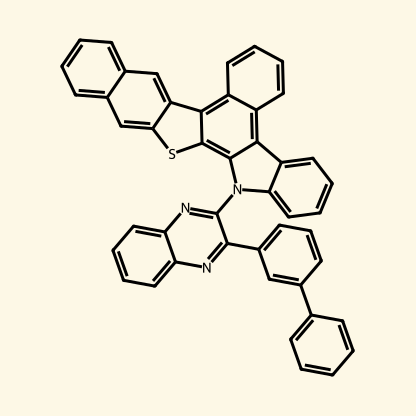 c1ccc(-c2cccc(-c3nc4ccccc4nc3-n3c4ccccc4c4c5ccccc5c5c6cc7ccccc7cc6sc5c43)c2)cc1